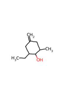 C=C1CC(C)C(O)C(CC)C1